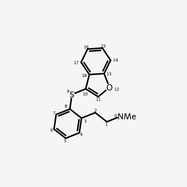 CNCCc1ccccc1Sc1coc2ccccc12